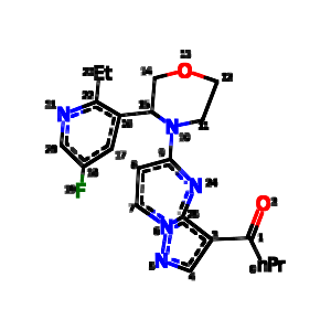 CCCC(=O)c1cnn2ccc(N3CCOCC3c3cc(F)cnc3CC)nc12